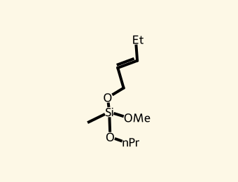 CCC=CCO[Si](C)(OC)OCCC